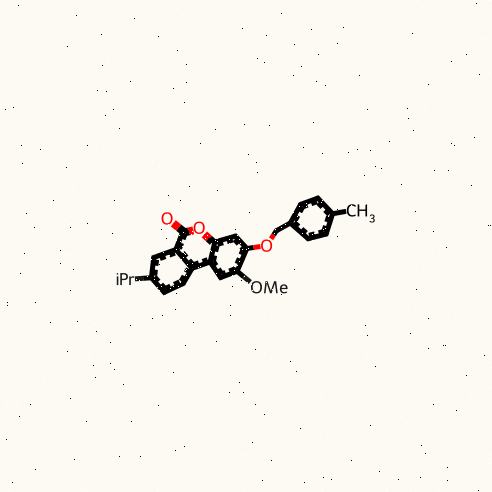 COc1cc2c(cc1OCc1ccc(C)cc1)oc(=O)c1cc(C(C)C)ccc12